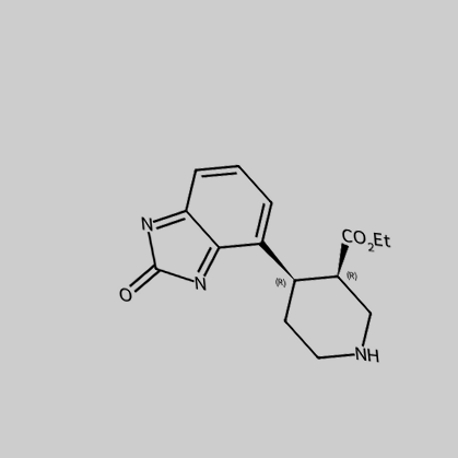 CCOC(=O)[C@H]1CNCC[C@H]1c1cccc2c1=NC(=O)N=2